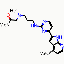 CNC(=O)CN(C)CCCNc1nccc(-c2cc3c(OC)ccnc3[nH]2)n1